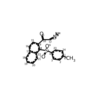 Cc1ccc(S(=O)(=O)c2c(C(=O)C=[N+]=[N-])ccc3ccccc23)cc1